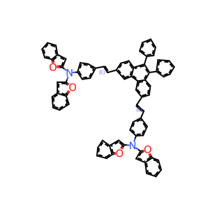 C(=C\c1ccc2c(-c3ccccc3)c(-c3ccccc3)c3ccc(/C=C/c4ccc(N(c5cc6ccccc6o5)c5cc6ccccc6o5)cc4)cc3c2c1)/c1ccc(N(c2cc3ccccc3o2)c2cc3ccccc3o2)cc1